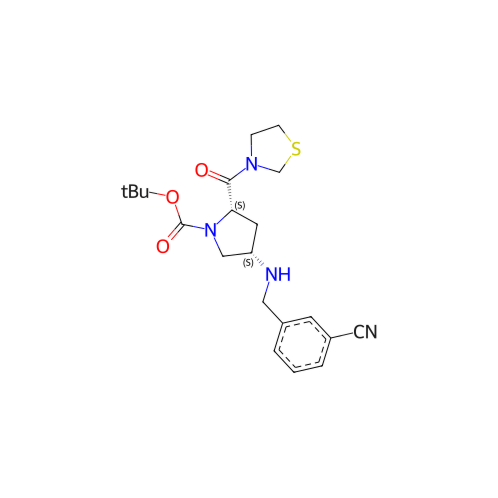 CC(C)(C)OC(=O)N1C[C@@H](NCc2cccc(C#N)c2)C[C@H]1C(=O)N1CCSC1